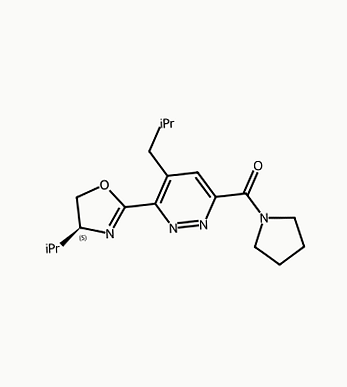 CC(C)Cc1cc(C(=O)N2CCCC2)nnc1C1=N[C@@H](C(C)C)CO1